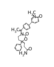 C[C@@H](c1ccc(-c2ccc(=O)n(C)c2)cc1)N1CC[C@@](CCC(N)=O)(c2ccccc2)OC1=O